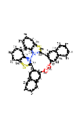 c1ccc2cc3c(cc2c1)OOc1cc2ccccc2cc1-c1sc2ccccc2[n+]1-[n+]1c-3sc2ccccc21